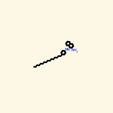 CCCCCCCCCCCCCCCCc1ccc(N=Nc2c(N)ccc3ccccc23)cc1